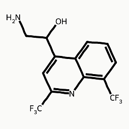 NCC(O)c1cc(C(F)(F)F)nc2c(C(F)(F)F)cccc12